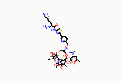 CCC(=O)/N=C1\[C@H](C)C[C@@]2(C)OC/C(=N/OCc3ccc(-c4nc(NC(=O)[C@@H](N)CCCCN)cs4)cn3)CO[C@H]([C@H]1C)[C@](C)(O)[C@@H](CC)OC(=O)[C@@](C)(F)C(=O)[C@H](C)[C@H]2O[C@@H]1O[C@H](C)C[C@H](N(C)C)[C@H]1O